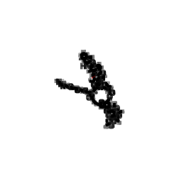 CCC(C)[C@@H]([C@@H](CC(=O)N1CCC[C@H]1[C@H](OC)[C@@H](C)C(=O)NC(Cc1ccccc1)C(=O)OC)OC)N(C)C(=O)[C@H]1NC(=O)[C@H](C(C)C)N(C)C(=O)OCc2ccc(O[C@@H]3O[C@H](COC(C)=O)[C@H](OC(C)=O)[C@H](OC(C)=O)[C@H]3OC(C)=O)c3cc(oc23)CCCC(=O)[N+](C)(CCOCCOCCOCCN=[N+]=[N-])CC1C